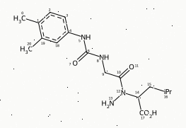 Cc1ccc(NC(=O)NCC(=O)N(N)C(CC(C)C)C(=O)O)cc1C